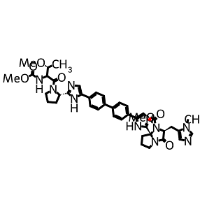 COC(=O)NC(C(=O)N1CCC[C@H]1c1ncc(-c2ccc(-c3ccc(-c4cnc([C@]56CCCN5C(=O)[C@H](Cc5cncn5C)N6C(=O)OC)[nH]4)cc3)cc2)[nH]1)[C@@H](C)OC